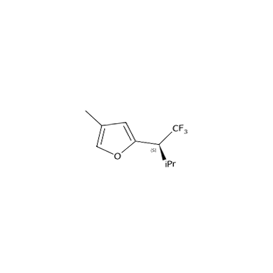 Cc1coc([C@H](C(C)C)C(F)(F)F)c1